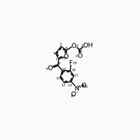 O=C(O)Oc1ccc(C(=O)c2ccc([N+](=O)[O-])cc2F)o1